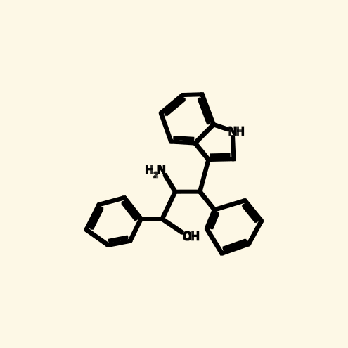 NC(C(O)c1ccccc1)C(c1ccccc1)c1c[nH]c2ccccc12